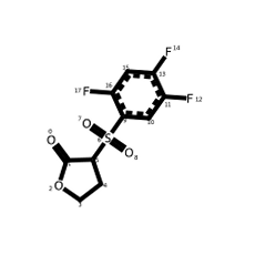 O=C1OCCC1S(=O)(=O)c1cc(F)c(F)cc1F